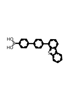 OB(O)c1ccc(-c2ccc(-c3cccc4c3sc3ccccc34)cc2)cc1